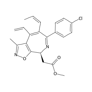 C=CC1=C(/C=C\C)C(c2ccc(Cl)cc2)=N[C@@H](CC(=O)OC)c2onc(C)c21